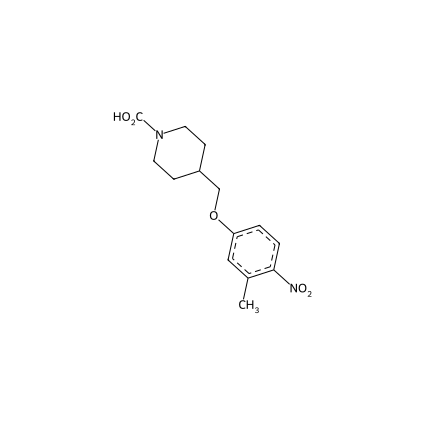 Cc1cc(OCC2CCN(C(=O)O)CC2)ccc1[N+](=O)[O-]